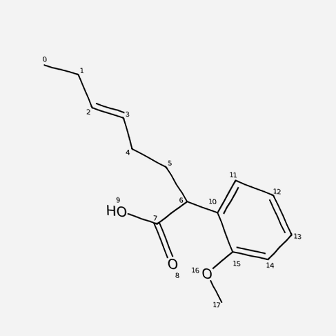 CC/C=C/CCC(C(=O)O)c1ccccc1OC